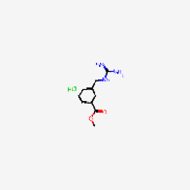 COC(=O)C1CCCC(CNC(=N)N)C1.Cl